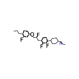 C/C=C/C1CCC(c2ccc(CC(F)COc3ccc(CCC)c(F)c3)c(F)c2F)CC1